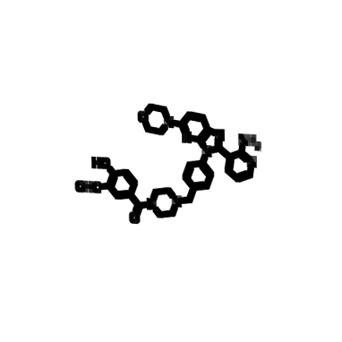 Nc1ncccc1-c1nc2ccc(N3CCOCC3)nc2n1-c1ccc(CN2CCN(C(=O)c3ccc(O)c(C=O)c3)CC2)cc1